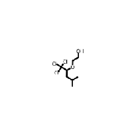 CC(C)CC(OCCO)C(Cl)(Cl)Cl